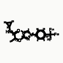 CC(Oc1ncn(-c2ccc(C(F)(F)F)cc2)n1)C(=O)NC1CC1